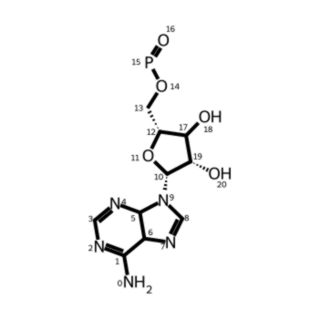 NC1=NC=NC2C1N=CN2[C@@H]1O[C@H](COP=O)C(O)[C@@H]1O